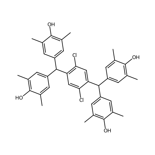 Cc1cc(C(c2cc(C)c(O)c(C)c2)c2cc(Cl)c(C(c3cc(C)c(O)c(C)c3)c3cc(C)c(O)c(C)c3)cc2Cl)cc(C)c1O